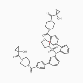 O=C(c1ccc(-c2cccc(N(c3cc[c]cc3-c3ccc(C(=O)N4CCN(C(=O)C5(O)CC5)CC4)cc3)S(=O)(=O)C3CCOC3)c2)cc1)N1CCN(C(=O)C2(O)CC2)CC1